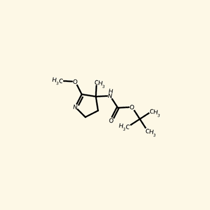 COC1=NCCC1(C)NC(=O)OC(C)(C)C